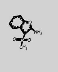 CS(=O)(=O)c1c(N)oc2ccccc12